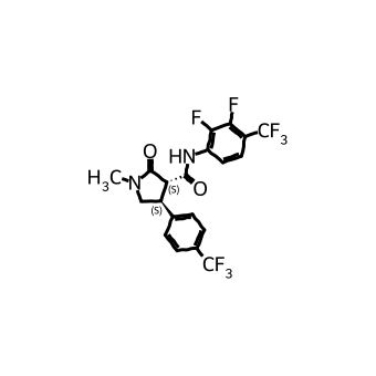 CN1C[C@H](c2ccc(C(F)(F)F)cc2)[C@@H](C(=O)Nc2ccc(C(F)(F)F)c(F)c2F)C1=O